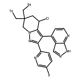 [2H]CC1(C[2H])CC(Cl)c2c(-c3ccnc4[nH]ncc34)c(-c3ccc(F)cn3)nn2C1